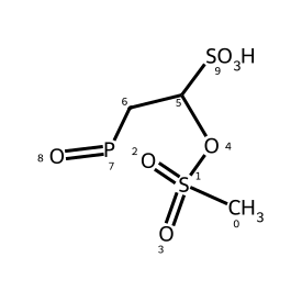 CS(=O)(=O)OC(CP=O)S(=O)(=O)O